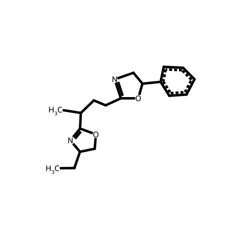 CCC1COC(C(C)CCC2=NCC(c3ccccc3)O2)=N1